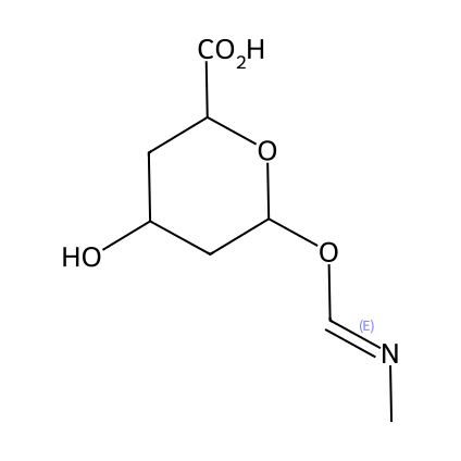 C/N=C/OC1CC(O)CC(C(=O)O)O1